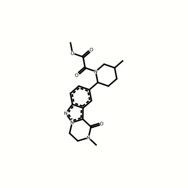 COC(=O)C(=O)N1CC(C)CCC1c1ccc2nn3c(c2c1)C(=O)N(C)CC3